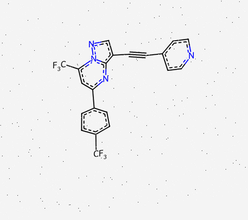 FC(F)(F)c1ccc(-c2cc(C(F)(F)F)n3ncc(C#Cc4ccncc4)c3n2)cc1